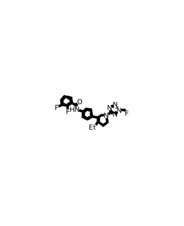 CCC1=C(c2ccc(NC(=O)c3cccc(F)c3F)cc2)CN(c2nnn(CF)n2)CC1